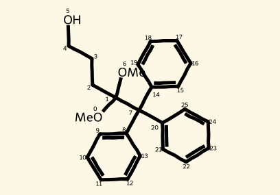 COC(CCCO)(OC)C(c1ccccc1)(c1ccccc1)c1ccccc1